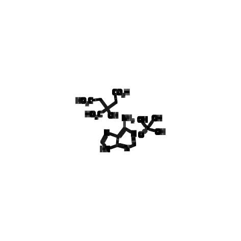 Nc1ncnc2[nH]cnc12.O=C(O)CC(O)(CC(=O)O)C(=O)O.O=P(O)(O)O